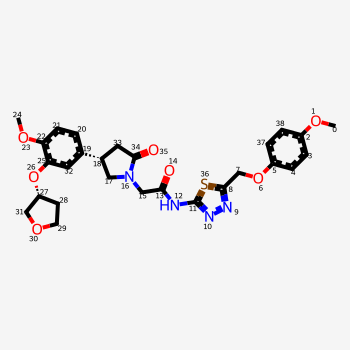 COc1ccc(OCc2nnc(NC(=O)CN3C[C@H](c4ccc(OC)c(O[C@@H]5CCOC5)c4)CC3=O)s2)cc1